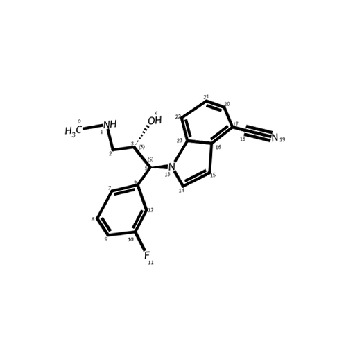 CNC[C@H](O)[C@H](c1cccc(F)c1)n1ccc2c(C#N)cccc21